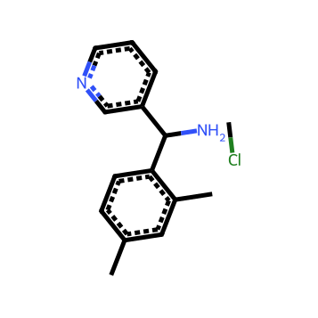 CCl.Cc1ccc(C(N)c2cccnc2)c(C)c1